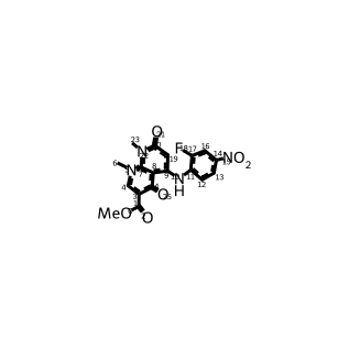 COC(=O)c1cn(C)c2c(c(Nc3ccc([N+](=O)[O-])cc3F)cc(=O)n2C)c1=O